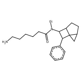 CCN(C(=O)CCCCCN)C1C2CCC3CC32C1c1ccccc1